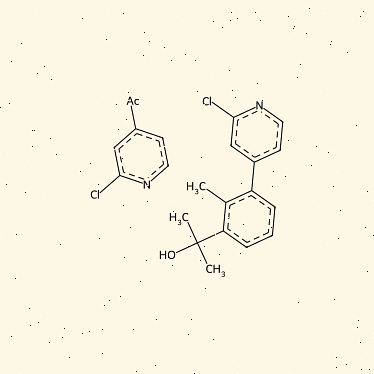 CC(=O)c1ccnc(Cl)c1.Cc1c(-c2ccnc(Cl)c2)cccc1C(C)(C)O